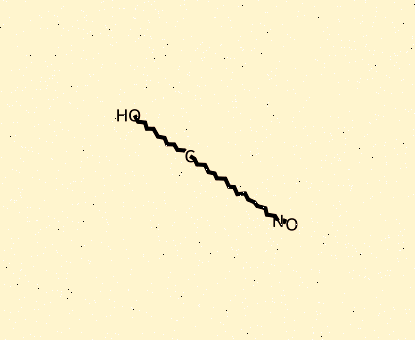 O=C=NCCCCCCCCCCCCCCCCCCCCCCCCCCCCO